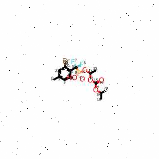 [CH2]c1ccc(C(F)(F)P(=O)(O)OC(C)OC(=O)OC(C)C)c(Br)c1